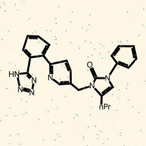 CCCc1cn(-c2ccccc2)c(=O)n1Cc1ccc(-c2ccccc2-c2nnn[nH]2)nc1